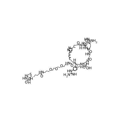 CC1C[C@@H]2NC(=O)CCc3cn(nn3)CCCC[C@@H](C(=O)NCCCOCCOCCOCCCNC(=O)CCCC[C@H]3SC[C@H]4NC(=O)N[C@H]43)NC(=O)[C@H](Cc3ccc(NC(=N)N)cc3)NC(=O)[C@H](CC(=O)O)NC(=O)CNC(=O)[C@H](CCCN1C(=N)N)NC2=O